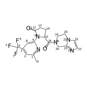 Cc1cc(C(F)(F)F)cc(N2C(=O)CCC2C(=O)N2CCn3ccnc3C2)n1